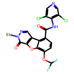 CCn1ncc2c(oc3c(OC(F)F)ccc(C(=O)Nc4c(Cl)cncc4Cl)c32)c1=O